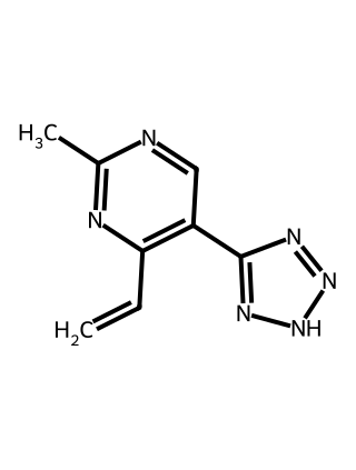 C=Cc1nc(C)ncc1-c1nn[nH]n1